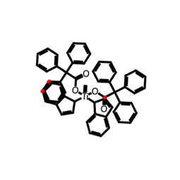 [CH2]=[Ti]([O]C(=O)C(c1ccccc1)(c1ccccc1)c1ccccc1)([O]C(=O)C(c1ccccc1)(c1ccccc1)c1ccccc1)([CH]1C=Cc2ccccc21)[CH]1C=Cc2ccccc21